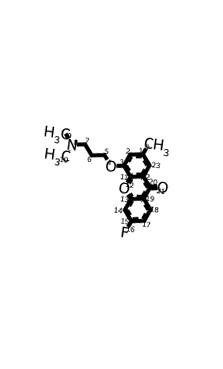 Cc1cc(OCCCN(C)C)c2oc3cc(F)ccc3c(=O)c2c1